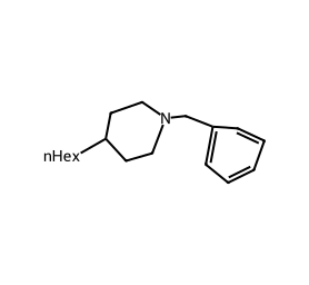 CCCCCCC1CCN(Cc2ccccc2)CC1